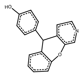 Oc1ccc(C2c3ccccc3Oc3cnccc32)cc1